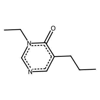 CCCc1cncn(CC)c1=O